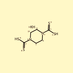 S=C(S)N1CCN(C(=S)S)CC1.[KH]